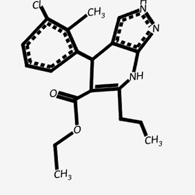 CCCC1=C(C(=O)OCC)C(c2cccc(Cl)c2C)c2c[nH]nc2N1